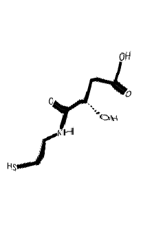 O=C(O)C[C@H](O)C(=O)NCCS